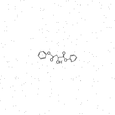 O=C(CC(O)C(=O)Oc1ccccc1)Oc1ccccc1